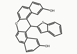 Oc1ccc2ccc3c(c2c1)C(c1cc2ccccc2s1)c1c(ccc2ccc(O)cc12)O3